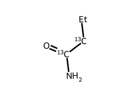 CC[13CH2][13C](N)=O